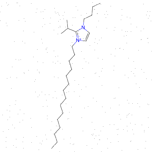 CCCCCCCCCCCCCCC[n+]1ccn(CCCC)c1C(C)C